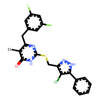 CCc1c(Cc2cc(F)cc(F)c2)nc(SCc2n[nH]c(-c3ccccc3)c2Cl)[nH]c1=O